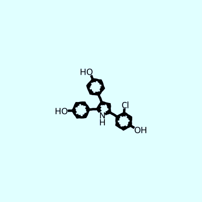 Oc1ccc(-c2cc(-c3ccc(O)cc3Cl)[nH]c2-c2ccc(O)cc2)cc1